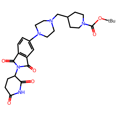 CC(C)(C)OC(=O)N1CCC(CN2CCN(c3ccc4c(c3)C(=O)N(C3CCC(=O)NC3=O)C4=O)CC2)CC1